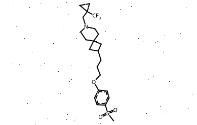 CS(=O)(=O)c1ccc(OCCCC2CC3(CCN(CC4(C(F)(F)F)CC4)CC3)C2)cc1